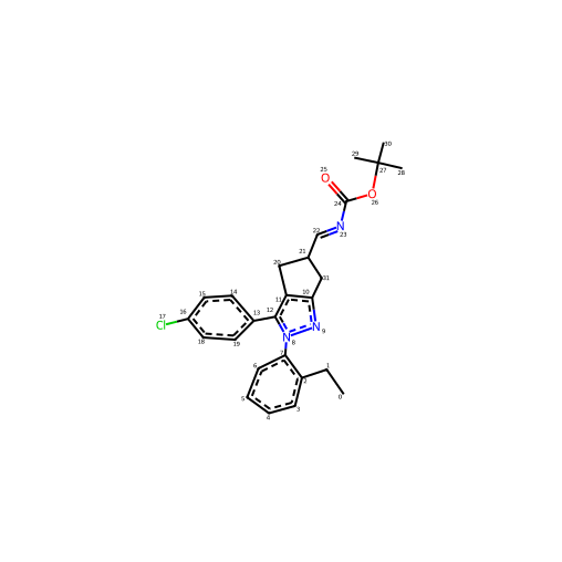 CCc1ccccc1-n1nc2c(c1-c1ccc(Cl)cc1)CC(C=NC(=O)OC(C)(C)C)C2